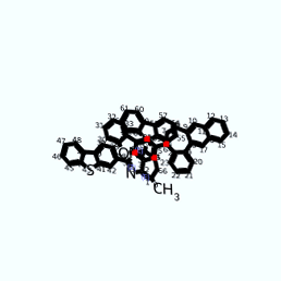 C\C1=C(c2cc(C3CCc4cc5ccccc5cc4-c4ccccc43)cc3c2oc2ccccc23)/N=C(c2ccc3c(c2)sc2ccccc23)\N=C(\n2c3ccccc3c3ccccc32)CC1